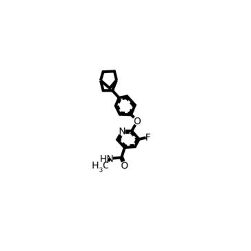 CNC(=O)c1cnc(Oc2ccc(C3CC4CCC3C4)cc2)c(F)c1